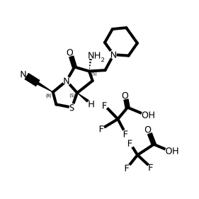 N#C[C@@H]1CS[C@H]2C[C@](N)(CN3CCCCC3)C(=O)N12.O=C(O)C(F)(F)F.O=C(O)C(F)(F)F